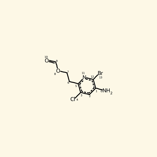 Nc1cc(Cl)c(CCOC=O)nc1Br